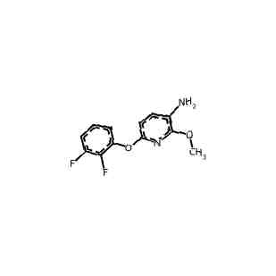 COc1nc(Oc2cccc(F)c2F)ccc1N